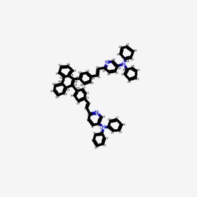 C(=C\c1ccc(N(c2ccccc2)c2ccccc2)cn1)/c1ccc(-c2c(-c3ccc(/C=C/c4ccc(N(c5ccccc5)c5ccccc5)cn4)cc3)c3ccccc3c3ccccc23)cc1